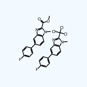 COC(=O)c1nc2cc(-c3ccc(F)cc3)ccc2n1C.Cn1c(C(Cl)(Cl)Cl)nc2cc(-c3ccc(F)cc3)ccc21